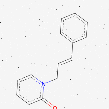 O=c1ccccn1C/C=C/c1ccccc1